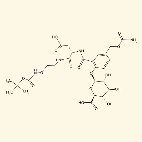 CC(C)(C)OC(=O)NOCCNC(=O)[C@H](CC(=O)O)NC(=O)c1cc(COC(N)=O)ccc1O[C@@H]1O[C@H](C(=O)O)[C@@H](O)[C@H](O)[C@H]1O